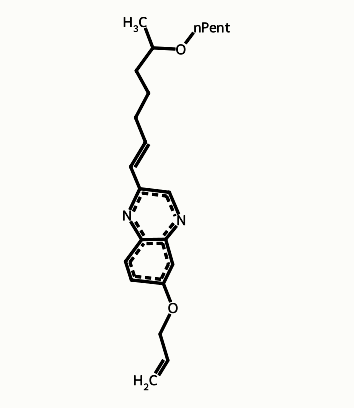 C=CCOc1ccc2nc(C=CCCCC(C)OCCCCC)cnc2c1